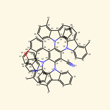 Cc1cccc2c1c1ccccc1n2-c1c(C#N)c(-n2c3ccccc3c3c(C)cccc32)c(-n2c3ccccc3c3c(C)cccc32)c(-c2cccc3oc4ccncc4c23)c1-n1c2ccccc2c2c(C)cccc21